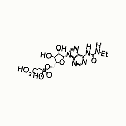 CCNC(=O)Nc1ncnc2c1ncn2[C@@H]1O[C@H](COP(=O)(O)CC(=O)O)C(O)[C@@H]1O